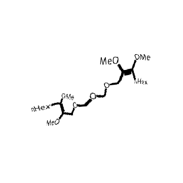 CCCCCCC(OC)=C(COCOCOCC(OC)=C(CCCCCC)OC)OC